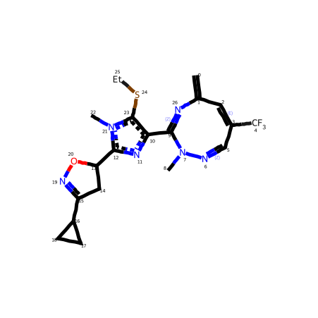 C=C1/C=C(C(F)(F)F)\C=N/N(C)/C(c2nc(C3CC(C4CC4)=NO3)n(C)c2SCC)=N\1